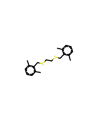 Cc1cccc(C)c1CSCCSCc1c(C)cccc1C